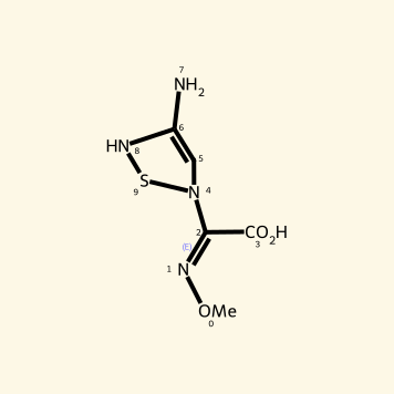 CO/N=C(\C(=O)O)N1C=C(N)NS1